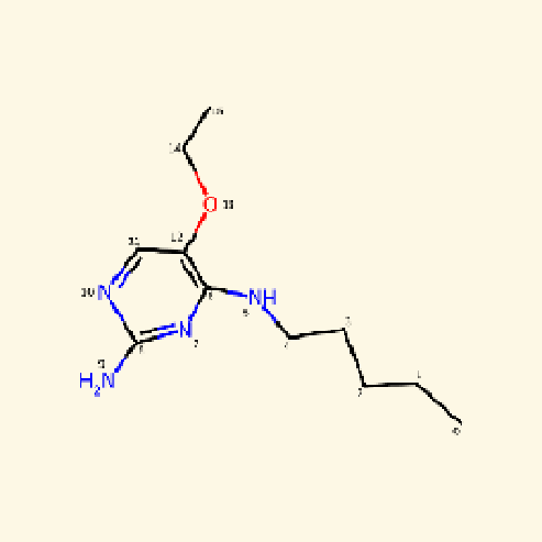 CCCCCNc1nc(N)ncc1OCC